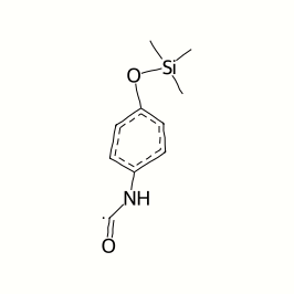 C[Si](C)(C)Oc1ccc(N[C]=O)cc1